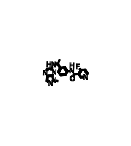 C[C@H](Nc1cnc2cnn(C)c2n1)c1cccc(NC(=O)c2cnccc2F)c1